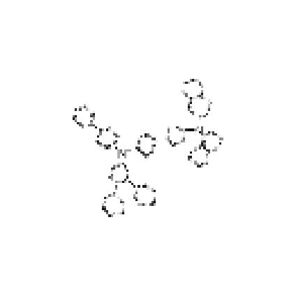 c1ccc(-c2ccc(N(c3ccc(-c4ccc(N(c5ccc6ccccc6c5)c5cccc6ccccc56)cc4)cc3)c3ccc(-c4ccccc4)c(-c4ccccc4)c3)cc2)cc1